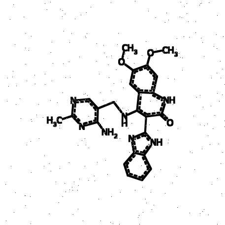 COc1cc2[nH]c(=O)c(-c3nc4ccccc4[nH]3)c(NCc3cnc(C)nc3N)c2cc1OC